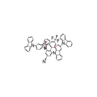 N#Cc1cc(-n2c3ccccc3c3cc(-n4c5ccccc5c5ccccc54)ccc32)c(-c2ccc(C(F)(F)F)cc2C(F)(F)F)c(-n2c3ccccc3c3cc(-n4c5ccccc5c5ccccc54)ccc32)c1